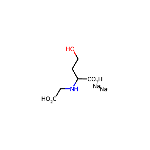 O=C(O)CNC(CCO)C(=O)O.[Na].[Na]